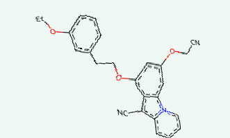 CCOc1cccc(CCOc2cc(OCC#N)cc3c2c(C#N)c2ccccn23)c1